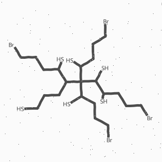 S[CH]CCC(C(S)CCCBr)C([C](S)C(S)CCCBr)(C(S)CCCBr)C(S)CCCBr